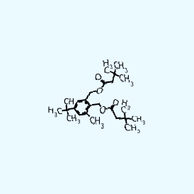 Cc1cc(C(C)(C)C)cc(COC(=O)CC(C)(C)C)c1COC(=O)CC(C)(C)C